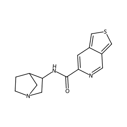 O=C(NC1CN2CCC1C2)c1cc2cscc2cn1